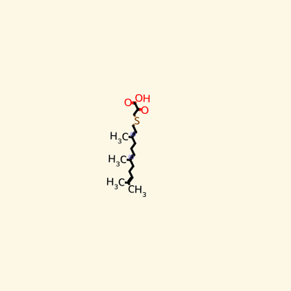 CC(C)=CCC/C(C)=C/CC/C(C)=C/CSCC(=O)C(=O)O